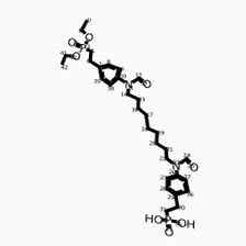 CCOP(=O)(CCc1ccc(N(C=O)CCCCCCCCCN(C=O)c2ccc(CCP(=O)(O)O)cc2)cc1)OCC